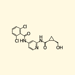 O=C(Nc1ccnc(NC(=O)[C@H]2C[C@H]2CO)c1)c1c(Cl)cccc1Cl